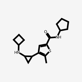 Cc1sc(C(=O)NC2CCCC2)cc1C1CC1NC1CCC1